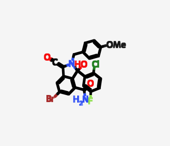 COc1ccc(CN2C(=C=O)c3cc(Br)cc(C(N)=O)c3C2(O)c2cc(F)ccc2Cl)cc1